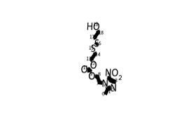 Cc1ncc([N+](=O)[O-])n1CCOC(=O)OCCSSCCO